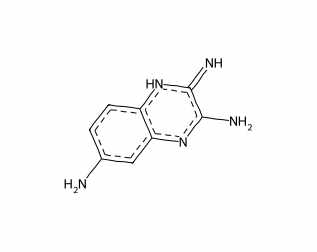 N=c1[nH]c2ccc(N)cc2nc1N